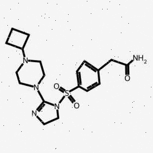 NC(=O)Cc1ccc(S(=O)(=O)N2CCN=C2N2CCN(C3CCC3)CC2)cc1